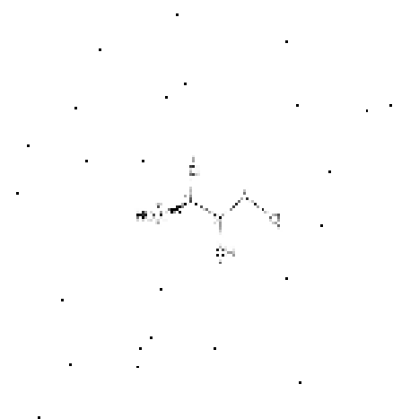 O=C(O)[C@@H](Cl)[C@@H](O)CCl